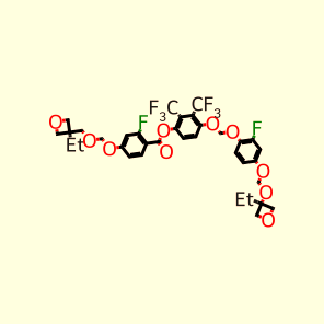 CCC1(COCOc2ccc(C(=O)Oc3ccc(OCOc4ccc(OCOC5(CC)COC5)cc4F)c(C(F)(F)F)c3C(F)(F)F)c(F)c2)COC1